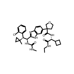 CCNC(=O)[C@H](NC(=O)C1(c2ccc3nc([C@@H](NC(=O)NC)[C@H](c4ccccc4Cl)C4(C)CC4)[nH]c3c2)CCOC1)C1CCC1